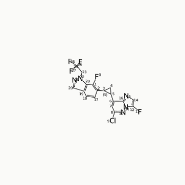 Fc1c([C@H]2CC2c2cc(Cl)nn3c(F)cnc23)ccc2cnn(CC(F)(F)F)c12